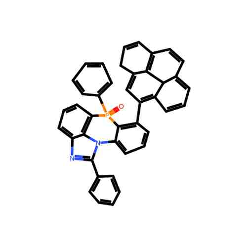 O=P1(c2ccccc2)c2c(C3=C4C=CC=C5C=CC6=C(C(=C3)CC=C6)C54)cccc2-n2c(-c3ccccc3)nc3cccc1c32